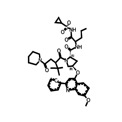 CCCC(NC(=O)[C@@H]1C[C@@H](Oc2cc(-c3ccccc3)nc3cc(OC)ccc23)CN1C(=O)C(CC(=O)N1CCCCC1)C(C)(C)C)C(=O)NS(=O)(=O)C1CC1